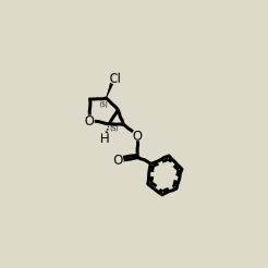 O=C(OC1C2[C@@H]1OC[C@H]2Cl)c1ccccc1